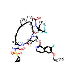 CCOc1cc2ccnc(O[C@@H]3C[C@H]4C(=O)N[C@]5(C(=O)NS(=O)(=O)C6CC6)C[C@H]5/C=C\CC[C@@H](C)C[C@@H](CC)[C@H](N(C(=O)O)C(C)(C)C(F)(F)F)C(=O)N4C3)c2cc1F